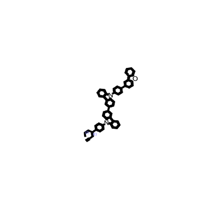 C#C/C=C(\C=C/C)c1ccc(-n2c3ccccc3c3cc(-c4ccc5c(c4)c4ccccc4n5-c4ccc(-c5ccc6oc7ccccc7c6c5)cc4)ccc32)cc1